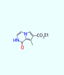 CCOC(=O)c1cn2cc[nH]c(=O)c2c1C